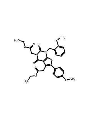 CCOC(=O)Cc1c(-c2ccc(OC)cc2)sc2c1c(=O)n(CC(=O)OCC)c(=O)n2Cc1ccccc1SC